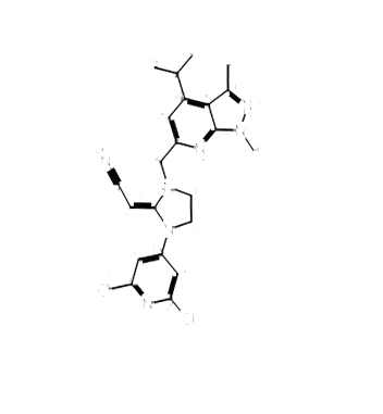 Cc1nn(C)c2nc(CN3CCN(c4cc(Cl)nc(Cl)c4)/C3=C/C#N)cc(C(C)C)c12